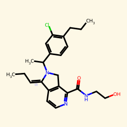 CC/C=C1/c2ccnc(C(=O)NCCO)c2CN1C(C)c1ccc(CCC)c(Cl)c1